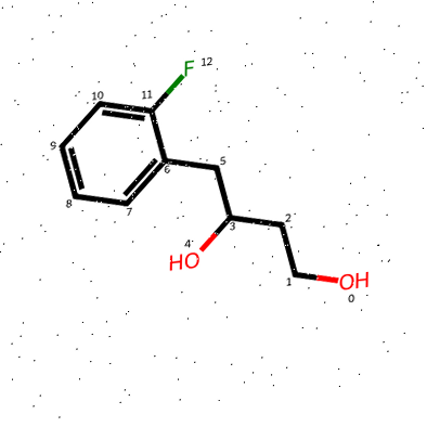 OCCC(O)Cc1ccccc1F